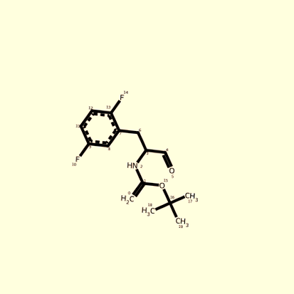 C=C(NC(C=O)Cc1cc(F)ccc1F)OC(C)(C)C